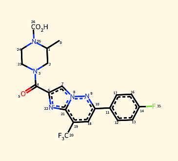 CC1CN(C(=O)c2cn3nc(-c4ccc(F)cc4)cc(C(F)(F)F)c3n2)CCN1C(=O)O